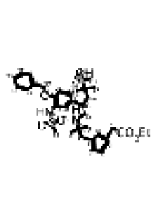 CCOC(=O)Cc1cccc(CC(C)(C)NC[C@H](CC(C)(C)[Si](C)(C)O)c2ccc(OCc3ccccc3)c(NS(C)(=O)=O)c2)c1